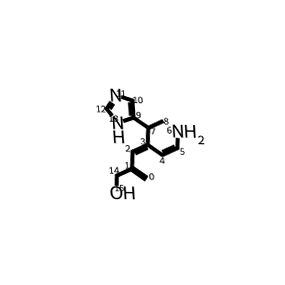 C=C(/C=C(\C=C/N)C(C)c1cnc[nH]1)CO